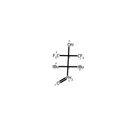 CC(C)(C)C([PH2]=O)(C(C)(C)C)C(O)(C(F)(F)F)C(F)(F)F